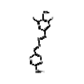 CCCCCc1ccc(C=NN=Cc2cc(F)c(OC)c(F)c2)cc1